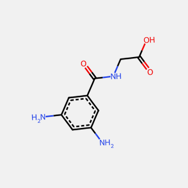 Nc1cc(N)cc(C(=O)NCC(=O)O)c1